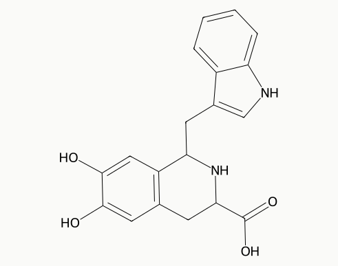 O=C(O)C1Cc2cc(O)c(O)cc2C(Cc2c[nH]c3ccccc23)N1